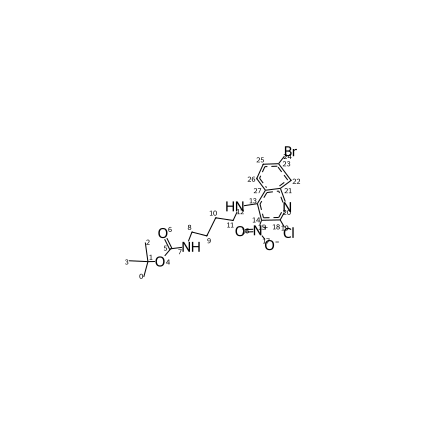 CC(C)(C)OC(=O)NCCCCNc1c([N+](=O)[O-])c(Cl)nc2cc(Br)ccc12